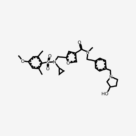 COc1cc(C)c(S(=O)(=O)N(Cc2cc(C(=O)N(C)Cc3ccc(CN4CCC(O)C4)cc3)co2)C2CC2)c(C)c1